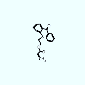 C=CC(=O)OCCSc1ccccc1C(=O)c1ccccc1